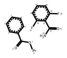 CC(C)OC(=O)c1ccccc1.NC(=O)c1c(F)cccc1F